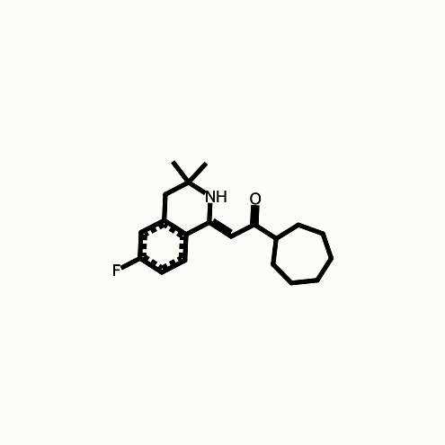 CC1(C)Cc2cc(F)ccc2C(=CC(=O)C2CCCCCC2)N1